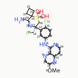 COc1cnc2c(Nc3ccc(F)c([C@]4(CF)CS(O)(O)C5(CCC5)C(N)=N4)c3)nccc2n1